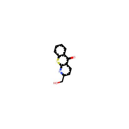 O=c1c2ccccc2sc2nc(CO)ccc12